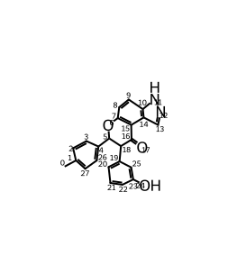 Cc1ccc(C2Oc3ccc4[nH]ncc4c3C(=O)C2c2cccc(O)c2)cc1